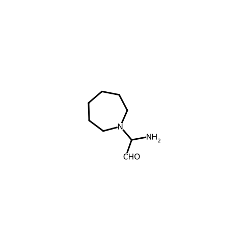 NC(C=O)N1CCCCCC1